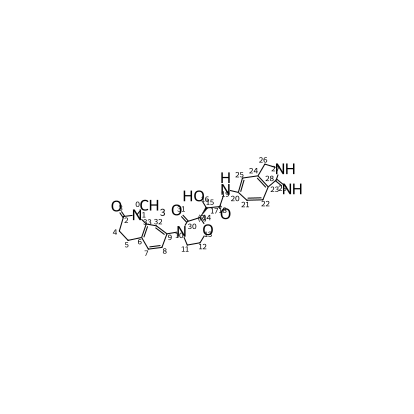 CN1C(=O)CCc2ccc(N3CCO[C@H](C(O)C(=O)Nc4ccc5c(c4)CNC5=N)C3=O)cc21